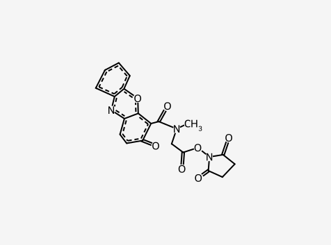 CN(CC(=O)ON1C(=O)CCC1=O)C(=O)c1c2oc3ccccc3nc-2ccc1=O